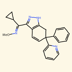 CON=C(c1n[nH]c2c1C=CC(c1ccccc1)(c1ccccn1)C2)C1CC1